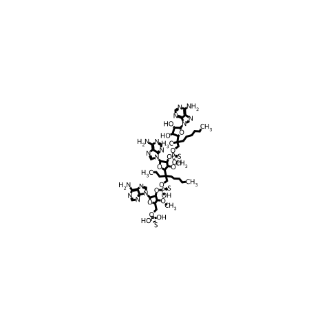 CCCCCCC(C)(COP(O)(=S)OC1C(OC)C(C(CCC)(CCCCC)COP(O)(=S)OC2C(OC)C(COP(O)(O)=S)OC2n2cnc3c(N)ncnc32)OC1n1cnc2c(N)ncnc21)C1OC(n2cnc3c(N)ncnc32)C(O)C1O